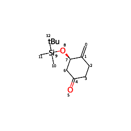 C=C1CCC(=O)C[C@H]1O[Si](C)(C)C(C)(C)C